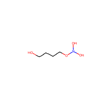 OCCCCON(O)O